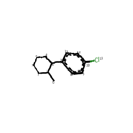 CC1CCCCC1c1ccc(Cl)cc1